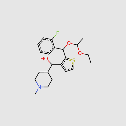 CCOC(C)OC(c1ccccc1F)c1sccc1C(O)C1CCN(C)CC1